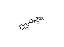 CC(C)(C)OC(=O)N1CCC(OCc2ccccc2Cl)C1